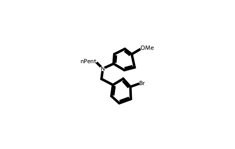 CCCCCN(Cc1cccc(Br)c1)c1ccc(OC)cc1